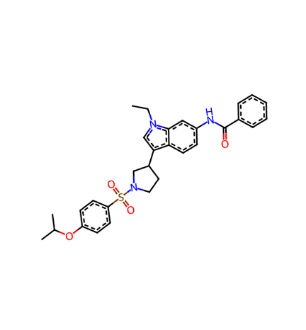 CCn1cc(C2CCN(S(=O)(=O)c3ccc(OC(C)C)cc3)C2)c2ccc(NC(=O)c3ccccc3)cc21